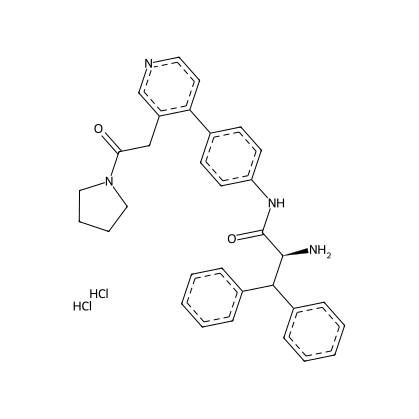 Cl.Cl.N[C@H](C(=O)Nc1ccc(-c2ccncc2CC(=O)N2CCCC2)cc1)C(c1ccccc1)c1ccccc1